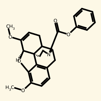 COC1=CCC2C3Cc4ccc(OC)c5c4[C@@]2(CCN3C(=O)Oc2ccccc2)[C@H]1O5